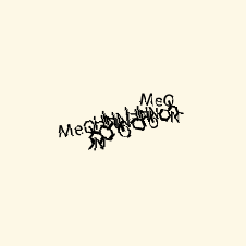 COc1cc(C)nc2ccc(NC(=O)Nc3cccc(NC(=O)Nc4ccc5nc(C)cc(OC)c5c4)c3)cc12